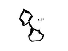 C1=C(c2ccccc2)CCCC1.[H+]